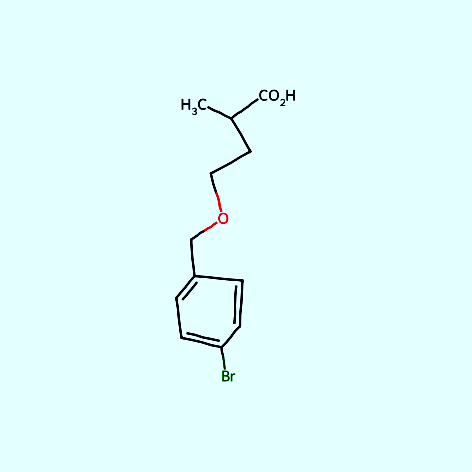 CC(CCOCc1ccc(Br)cc1)C(=O)O